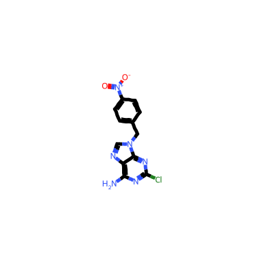 Nc1nc(Cl)nc2c1ncn2Cc1ccc([N+](=O)[O-])cc1